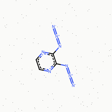 [N-]=[N+]=Nc1nccnc1N=[N+]=[N-]